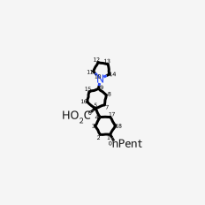 CCCCCC1CCC(C2(C(=O)O)CCC(N3CCCC3)CC2)CC1